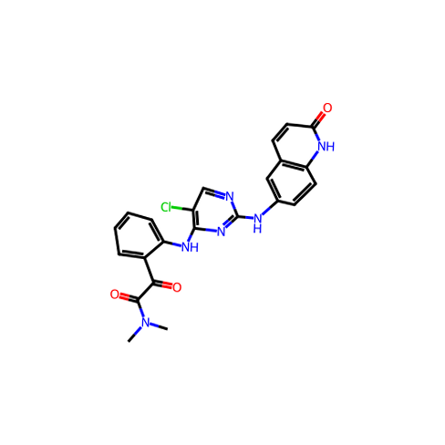 CN(C)C(=O)C(=O)c1ccccc1Nc1nc(Nc2ccc3[nH]c(=O)ccc3c2)ncc1Cl